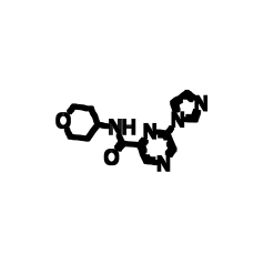 O=C(NC1CCOCC1)c1cncc(-n2ccnc2)n1